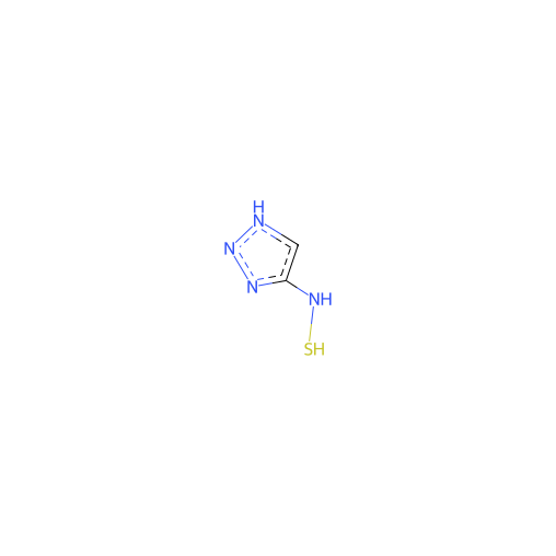 SNc1c[nH]nn1